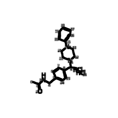 CC(=O)NCc1ccc(C(C)N2CCN(c3ccccc3)CC2)cc1.Cl.Cl